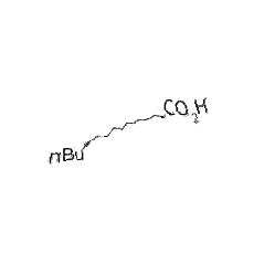 CCCCC#CCCCCCCCCCCC(=O)O